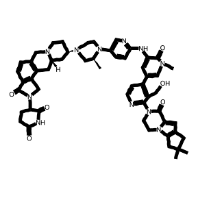 C[C@H]1CN([C@H]2CCN3Cc4ccc5c(c4C[C@H]3C2)CN(C2CCC(=O)NC2=O)C5=O)CCN1c1ccc(Nc2cc(-c3ccnc(N4CCn5c(cc6c5CC(C)(C)C6)C4=O)c3CO)cn(C)c2=O)nc1